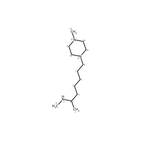 CNC(C)CCCCCN1CCN(C)CC1